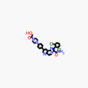 NC(=O)c1c(-c2c(Cl)cccc2Cl)nc2c3cc(-c4ccc(N5CCN(C(=O)CO)CC5)cc4)cnc3ccn12